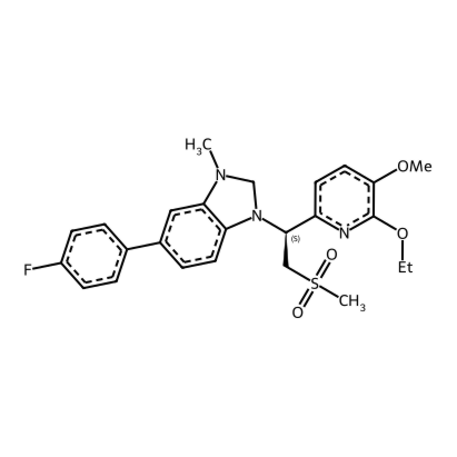 CCOc1nc([C@@H](CS(C)(=O)=O)N2CN(C)c3cc(-c4ccc(F)cc4)ccc32)ccc1OC